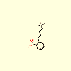 C[Si](C)(C)CCCCc1ccccc1B(O)O